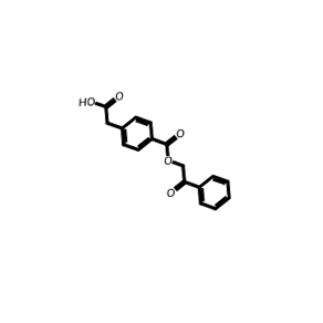 O=C(O)Cc1ccc(C(=O)OCC(=O)c2ccccc2)cc1